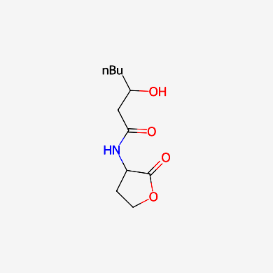 CCCCC(O)CC(=O)NC1CCOC1=O